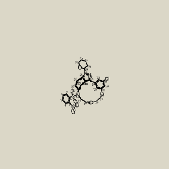 O=[N+]([O-])c1ccccc1S(=O)(=O)N1CCOCCOc2cc(Cl)cc(c2)-c2nn(C3CCCCO3)c3ccc1cc23